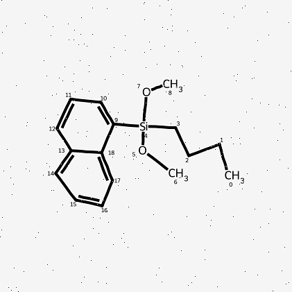 CCCC[Si](OC)(OC)c1cccc2ccccc12